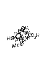 COC(=O)CNCC(=O)O.OB(O)Oc1cccc(O)c1